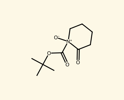 CC(C)(C)OC(=O)[N+]1([O-])CCCCC1=O